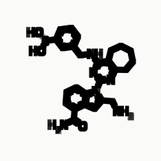 NCc1cc2c(C(N)=O)cccc2n1-c1nc2c(c(NCc3cccc(B(O)O)c3)n1)CCCCC2